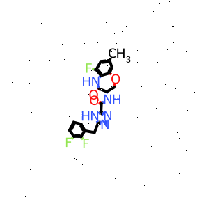 Cc1cc(F)c2c(c1)OC[C@H](NC(=O)c1nnc(Cc3cccc(F)c3F)[nH]1)C(=O)N2